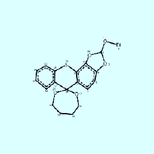 CCOC1Oc2ccc3c(c2O1)Sc1ccccc1C31OCCCCO1